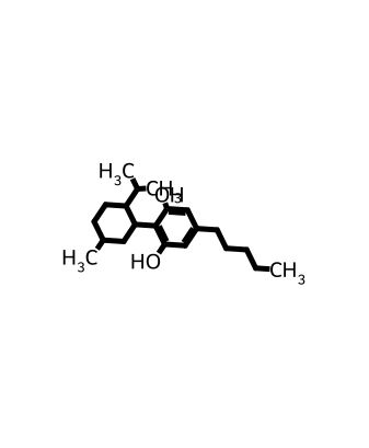 CCCCCc1cc(O)c(C2CC(C)CCC2C(C)C)c(O)c1